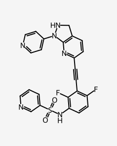 O=S(=O)(Nc1ccc(F)c(C#Cc2ccc3c(n2)N(c2ccncc2)NC3)c1F)c1cccnc1